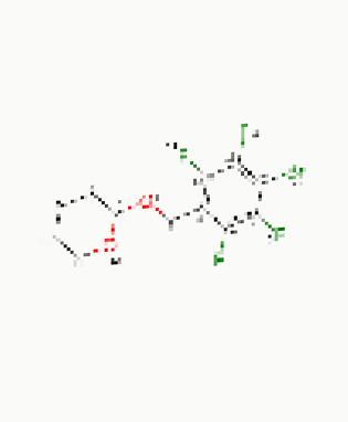 Fc1c(F)c(COC2CCCCO2)c(F)c(F)c1Br